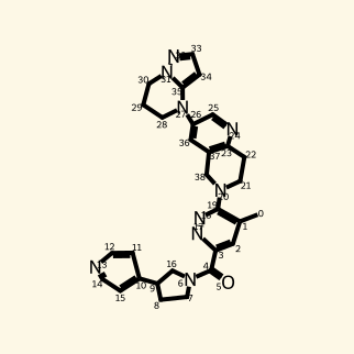 Cc1cc(C(=O)N2CCC(c3ccncc3)C2)nnc1N1CCc2ncc(N3CCCn4nccc43)cc2C1